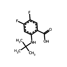 CC(C)(C)Nc1cc(F)c(F)cc1C(=O)O